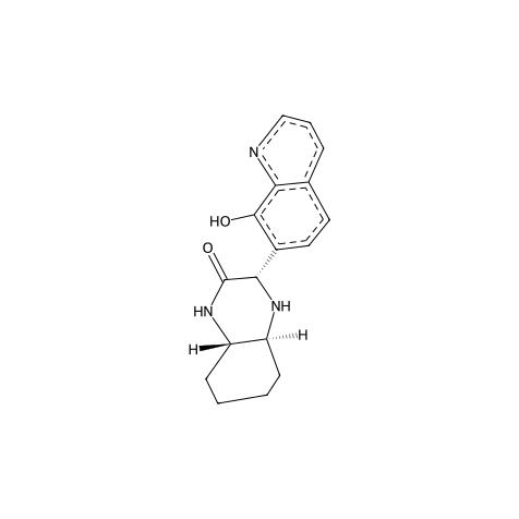 O=C1N[C@H]2CCCC[C@@H]2N[C@H]1c1ccc2cccnc2c1O